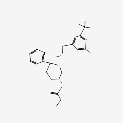 CCC(=O)N[C@H]1CC[C@@](COCc2cc(C)cc(C(F)(F)F)c2)(c2ccccc2)NC1